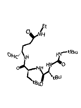 CCNC(=O)CC[C@@H](C=O)NC(=O)[C@H](CC(C)(C)C)NC(=O)[C@@H](NC(=O)NC(C)(C)C)C(C)(C)C